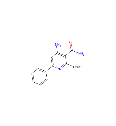 COc1nc(-c2ccccc2)cc(N)c1C(N)=O